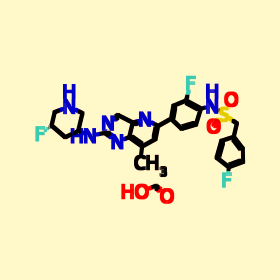 Cc1cc(-c2ccc(NS(=O)(=O)Cc3ccc(F)cc3)c(F)c2)nc2cnc(N[C@@H]3CNC[C@@H](F)C3)nc12.O=CO